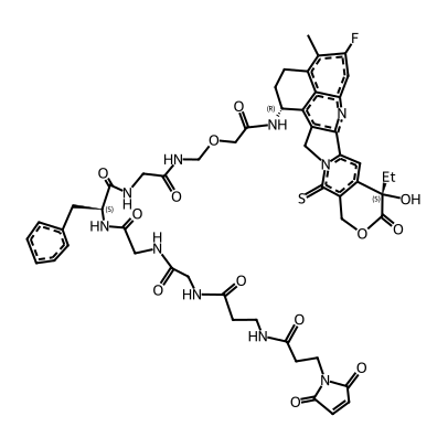 CC[C@@]1(O)C(=O)OCc2c1cc1n(c2=S)Cc2c-1nc1cc(F)c(C)c3c1c2[C@H](NC(=O)COCNC(=O)CNC(=O)[C@H](Cc1ccccc1)NC(=O)CNC(=O)CNC(=O)CCNC(=O)CCN1C(=O)C=CC1=O)CC3